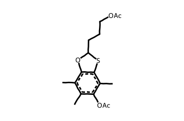 CC(=O)OCCCC1Oc2c(C)c(C)c(OC(C)=O)c(C)c2S1